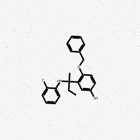 CCC(C)(Pc1ccccc1F)c1cc(S)ccc1OCc1ccccc1